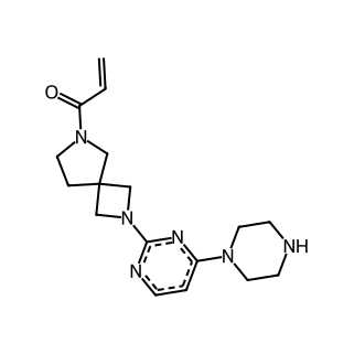 C=CC(=O)N1CCC2(C1)CN(c1nccc(N3CCNCC3)n1)C2